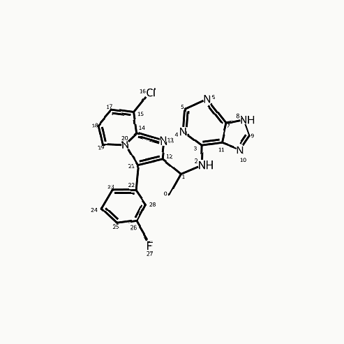 CC(Nc1ncnc2[nH]cnc12)c1nc2c(Cl)cccn2c1-c1cccc(F)c1